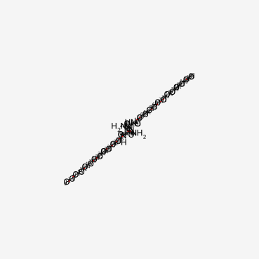 COCCOCCOCCOCCOCCOCCOCCOCCOCCOCCOCCOCCC(=O)NCCc1nc(C(N)=O)c(CCNC(=O)CCOCCOCCOCCOCCOCCOCCOCCOCCOCCOCCOCCOC)nc1C(N)=O